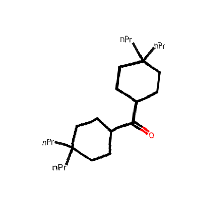 CCCC1(CCC)CCC(C(=O)C2CCC(CCC)(CCC)CC2)CC1